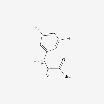 CC(C)N(C(=O)C(C)(C)C)[C@H](C)c1cc(F)cc(F)c1